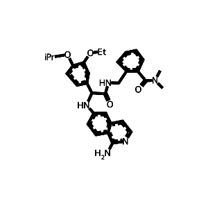 CCOc1cc(C(Nc2ccc3c(N)nccc3c2)C(=O)NCc2ccccc2C(=O)N(C)C)ccc1OC(C)C